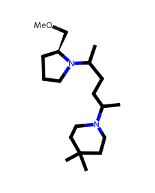 COC[C@@H]1CCCN1C(C)CCC(C)N1CCC(C)(C)CC1